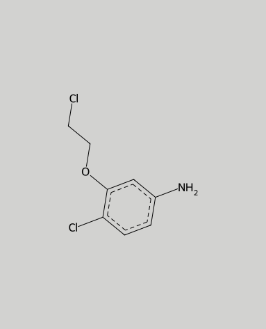 Nc1ccc(Cl)c(OCCCl)c1